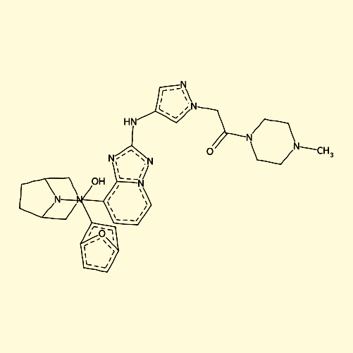 CN1CCN(C(=O)Cn2cc(Nc3nc4c(N5CC6CCC(C5)N6C(O)c5cc6ccc5o6)cccn4n3)cn2)CC1